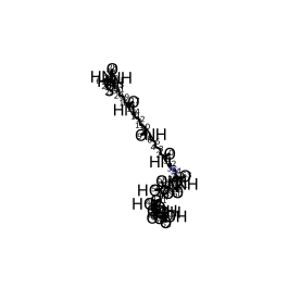 O=C(CCCCCNC(=O)CCCCCNC(=O)CCCC[C@H]1SC[C@H]2NC(=O)N[C@H]21)NC/C=C/c1cn([C@@H]2O[C@H](COP(=O)(O)OP(=O)(O)OP(=O)(O)O)C(O)C2O)c(=O)[nH]c1=O